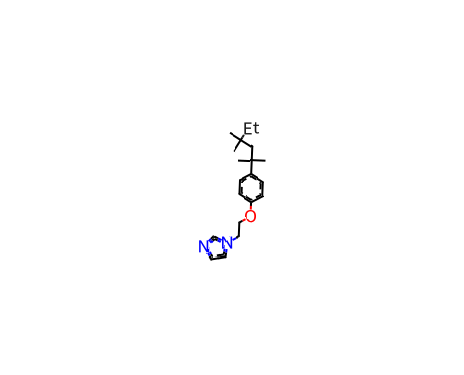 CCC(C)(C)CC(C)(C)c1ccc(OCCn2ccnc2)cc1